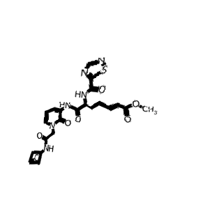 COC(=O)/C=C/CC[C@H](NC(=O)c1ncns1)C(=O)Nc1cccn(CC(=O)NC23CC(C2)C3)c1=O